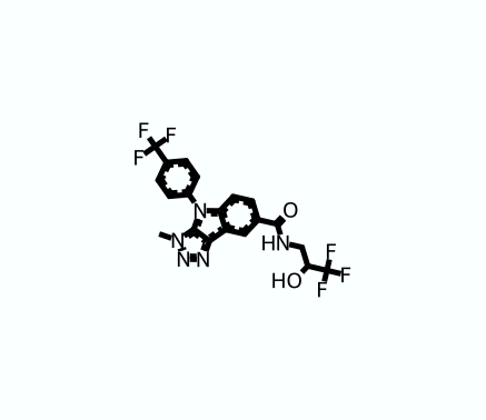 Cn1nnc2c3cc(C(=O)NCC(O)C(F)(F)F)ccc3n(-c3ccc(C(F)(F)F)cc3)c21